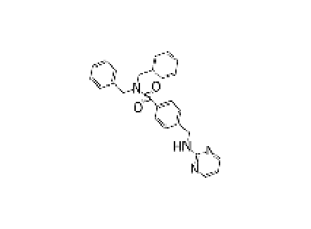 O=S(=O)(c1ccc(CNc2ncccn2)cc1)N(Cc1ccccc1)Cc1ccccc1